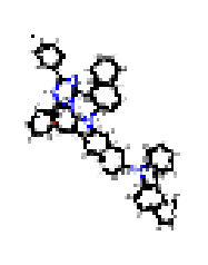 c1ccc(-c2nc(-c3ccccc3)nc(-c3c(-n4c5ccccc5c5cc6ccc(-n7c8ccccc8c8c9ccccc9ccc87)cc6cc54)ccc4ccccc34)n2)cc1